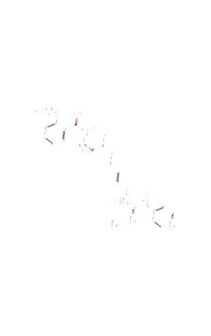 COc1cccc(OC)c1C(=O)N1CCC(CC/C=C/CN/C(=N\C#N)Nc2ccncc2)CC1